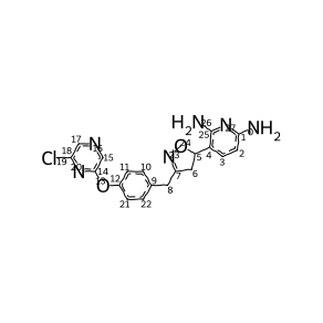 Nc1ccc(C2CC(Cc3ccc(Oc4cncc(Cl)n4)cc3)=NO2)c(N)n1